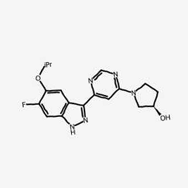 CC(C)Oc1cc2c(-c3cc(N4CC[C@@H](O)C4)ncn3)n[nH]c2cc1F